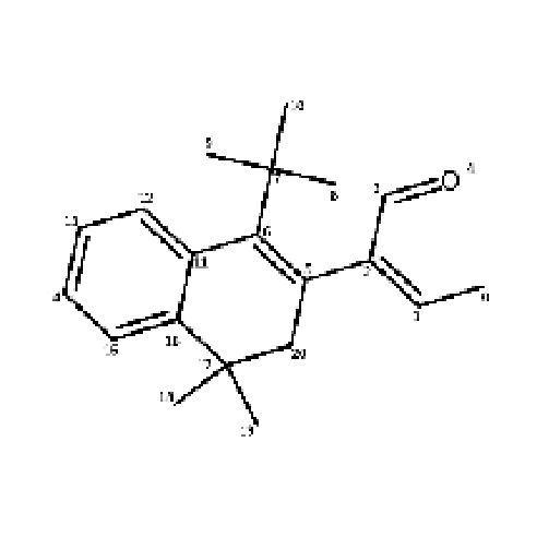 CC=C(C=O)C1=C(C(C)(C)C)c2ccccc2C(C)(C)C1